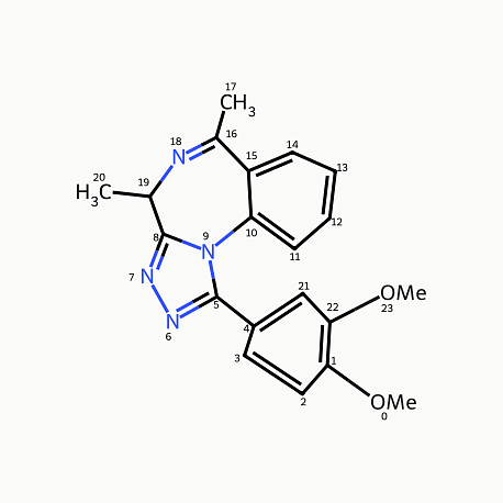 COc1ccc(-c2nnc3n2-c2ccccc2C(C)=NC3C)cc1OC